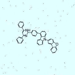 C1=C(c2ccccc2)NC(c2ccc(-c3cccc4c3c3ccccc3n4-c3ccc4oc5ccccc5c4c3)cc2)N=C1c1ccccc1